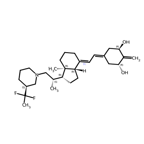 C=C1[C@H](O)CC(=C/C=C2\CCC[C@]3(C)[C@@H]([C@H](C)CN4CCC[C@H](C(C)(F)F)C4)CC[C@@H]23)C[C@H]1O